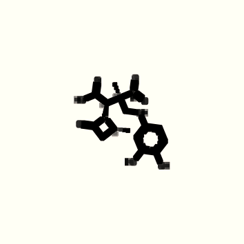 C[C@@H]1CC(=O)N1[C@@H](C(=O)O)[C@](C)(CNc1ccc(O)c(O)c1)[SH](=O)=O